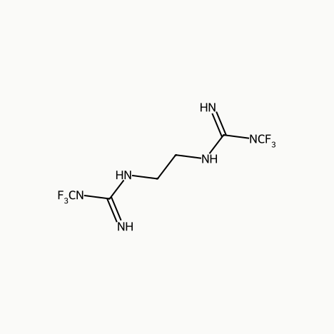 N=C(NCCNC(=N)NC(F)(F)F)NC(F)(F)F